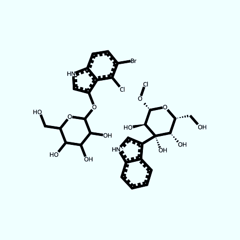 OCC1OC(Oc2c[nH]c3ccc(Br)c(Cl)c23)C(O)C(O)C1O.OC[C@H]1O[C@@H](OCl)[C@H](O)[C@](O)(c2c[nH]c3ccccc23)[C@H]1O